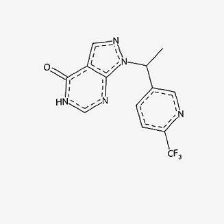 CC(c1ccc(C(F)(F)F)nc1)n1ncc2c(=O)[nH]cnc21